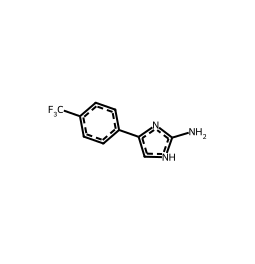 Nc1nc(-c2ccc(C(F)(F)F)cc2)c[nH]1